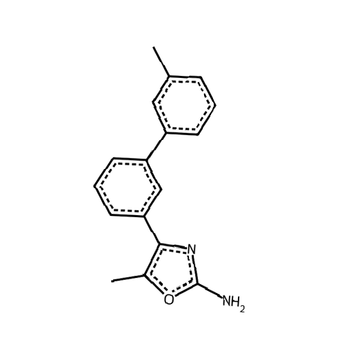 Cc1cccc(-c2cccc(-c3nc(N)oc3C)c2)c1